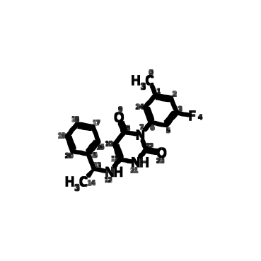 Cc1cc(F)cc(-n2c(=O)cc(N[C@@H](C)c3ccccc3)[nH]c2=O)c1